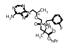 CCCOC(=O)C(C)(C)CP(=O)(CO[C@H](C)Cn1cnc2c(N)ncnc21)NCc1cccc(F)c1